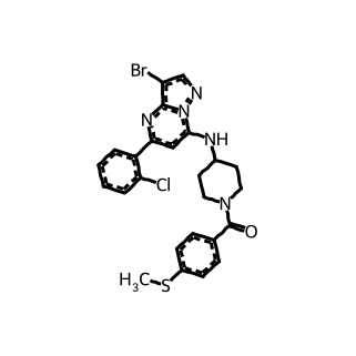 CSc1ccc(C(=O)N2CCC(Nc3cc(-c4ccccc4Cl)nc4c(Br)cnn34)CC2)cc1